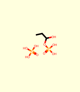 CCC(O)OP(=O)(O)O.O=P(O)(O)O